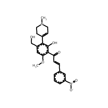 COc1cc(CO)c(C2=CCN(C)CC2)c(O)c1C(=O)/C=C/c1cccc([N+](=O)[O-])c1